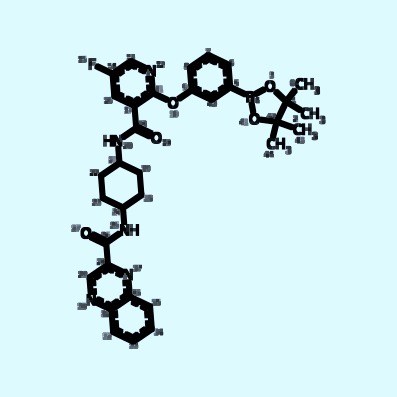 CC1(C)OB(c2cccc(Oc3ncc(F)cc3C(=O)NC3CCC(NC(=O)c4cnc5ccccc5n4)CC3)c2)OC1(C)C